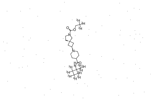 [2H]C([2H])([2H])COC(=O)N1CC[C@]2(C1)C[C@H](N1CCC(C(=O)NC3(C([2H])([2H])[2H])C([2H])([2H])C([2H])([2H])C3([2H])[2H])CC1)C2